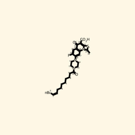 CCCC/C=C\CCCCCCCC(=O)N1CCN(c2cc3c(cc2F)c(=O)c(C(=O)O)c2n3C(C)S2)CC1